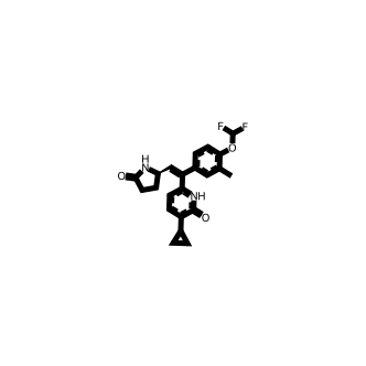 Cc1cc(C(=C[C@H]2CCC(=O)N2)c2ccc(C3CC3)c(=O)[nH]2)ccc1OC(F)F